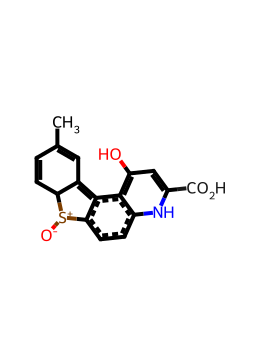 CC1=CC2=c3c(ccc4c3=C(O)C=C(C(=O)O)N4)[S+]([O-])C2C=C1